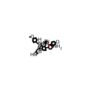 COc1ccc(CNS(=O)(=O)c2c(S(=O)(=O)CC3CNC3)ccc(C3CCC(N)CC3)c2-c2nnnn2Cc2ccc(OC)cc2)cc1